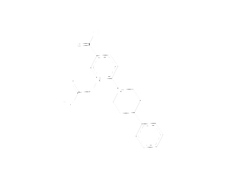 O=C(O[n+]1cc(C(=O)C(F)(F)F)ccc1N1CCC(c2ccccc2)CC1)C(F)(F)F